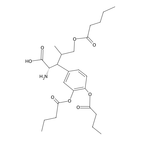 CCCCC(=O)OCC(C)C(c1ccc(OC(=O)CCC)c(OC(=O)CCC)c1)[C@H](N)C(=O)O